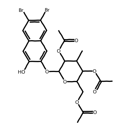 CC(=O)OCC1OC(Oc2cc3cc(Br)c(Br)cc3cc2O)C(OC(C)=O)C(C)C1OC(C)=O